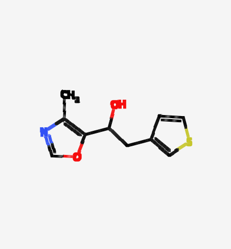 Cc1ncoc1C(O)Cc1ccsc1